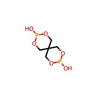 OP1OCC2(CO1)COP(O)OC2